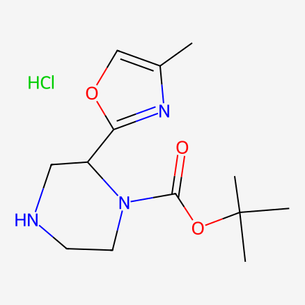 Cc1coc(C2CNCCN2C(=O)OC(C)(C)C)n1.Cl